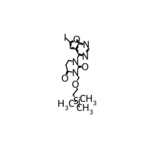 C[Si](C)(C)CCOCN1C(=O)CCN(c2ncnc3oc(I)cc23)C1=O